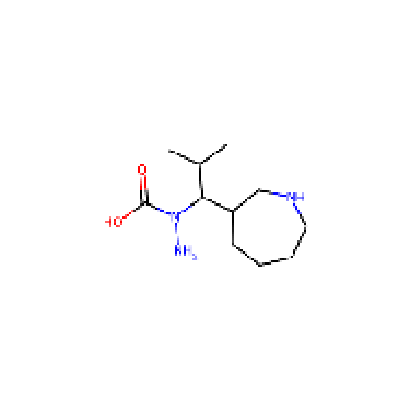 C[C](C)C(C1CCCCNC1)N(N)C(=O)O